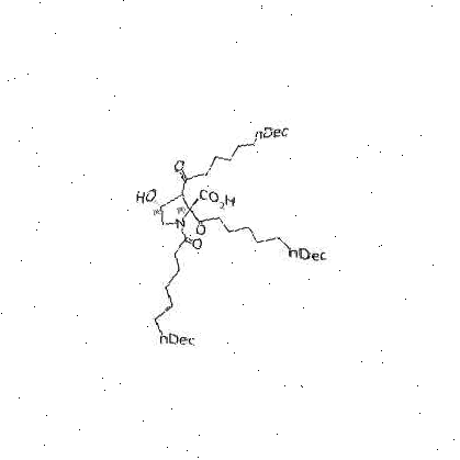 CCCCCCCCCCCCCCCC(=O)C1[C@@H](O)CN(C(=O)CCCCCCCCCCCCCCC)[C@@]1(C(=O)O)C(=O)CCCCCCCCCCCCCCC